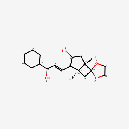 OC(C=CC1C(O)C[C@H]2[C@H]1CC21OCCO1)C1CCCCC1